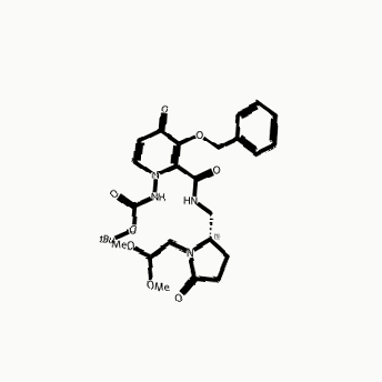 COC(CN1C(=O)CC[C@H]1CNC(=O)c1c(OCc2ccccc2)c(=O)ccn1NC(=O)OC(C)(C)C)OC